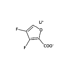 O=C([O-])c1occ(F)c1F.[Li+]